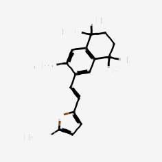 CCCCCCc1cc2c(cc1C=Cc1ccc(C(=O)O)s1)C(C)(C)CCC2(C)C